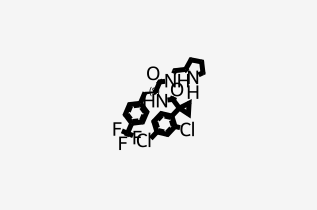 O=C(NCC1CCCN1)[C@H](Cc1ccc(C(F)(F)F)cc1)NC(=O)C1(c2ccc(Cl)cc2Cl)CC1